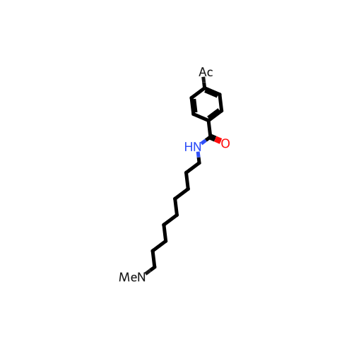 CNCCCCCCCCCNC(=O)c1ccc(C(C)=O)cc1